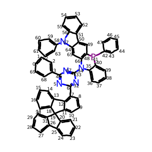 c1ccc(-c2nc(-c3cccc4c3-c3ccccc3C43c4ccccc4-c4ccccc43)nc(N3c4ccccc4P(c4ccccc4)c4cc5c6ccccc6n(-c6ccccc6)c5cc43)n2)cc1